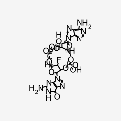 Nc1nc2c(ncn2[C@@H]2O[C@@H]3OCP(=O)(O)OC4C(O)[C@H](n5cnc6c(N)ncnc65)O[C@@H]4COP(=O)(O)OC2C3F)c(=O)[nH]1